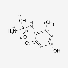 Cc1cc(O)cc(O)c1NP(N)(=O)O